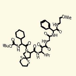 CCCC(NC(=O)C1CC2(CN1C(=O)C(NC(=O)OCC(C)C)C1CCCCC1)SCCCS2)C(=O)C(=O)NCC(=O)NC(C(=O)NCCOC)c1ccccc1